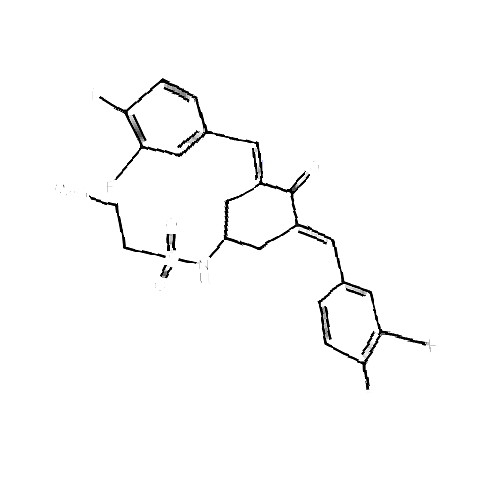 COCCS(=O)(=O)NC1C/C(=C\c2ccc(F)c(F)c2)C(=O)/C(=C/c2ccc(F)c(F)c2)C1